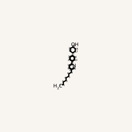 C=CCCCCCCc1ccc(-c2ccc([C@H]3CC[C@H](O)CC3)cc2)nc1